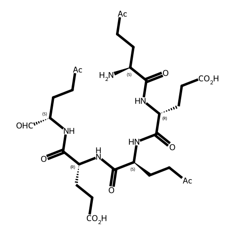 CC(=O)CC[C@@H](C=O)NC(=O)[C@@H](CCC(=O)O)NC(=O)[C@H](CCC(C)=O)NC(=O)[C@@H](CCC(=O)O)NC(=O)[C@@H](N)CCC(C)=O